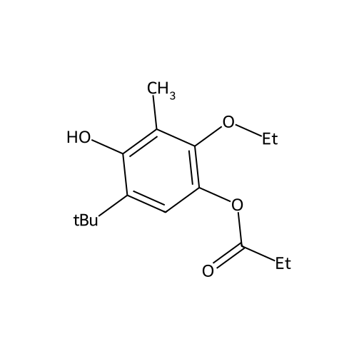 CCOc1c(OC(=O)CC)cc(C(C)(C)C)c(O)c1C